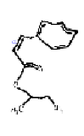 CCC(C)OC(=O)/C=C\c1ccccc1